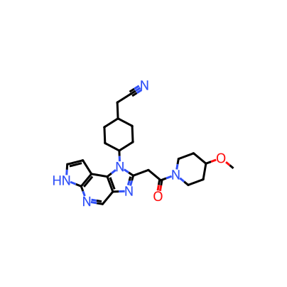 COC1CCN(C(=O)Cc2nc3cnc4[nH]ccc4c3n2C2CCC(CC#N)CC2)CC1